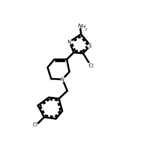 Nc1nc(C2=CCCN(Cc3ccc(Cl)cc3)C2)c(Cl)s1